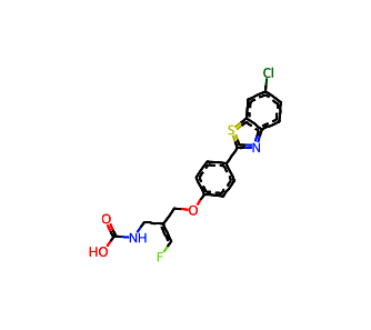 O=C(O)NCC(=CF)COc1ccc(-c2nc3ccc(Cl)cc3s2)cc1